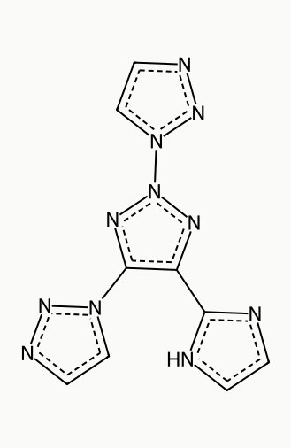 c1cn(-c2nn(-n3ccnn3)nc2-c2ncc[nH]2)nn1